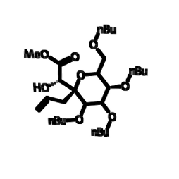 C=CC[C@@]1([C@H](O)C(=O)OC)OC(COCCCC)[C@@H](OCCCC)C(OCCCC)C1OCCCC